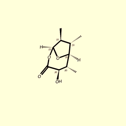 C[C@@H]1[C@@H]2OC(=O)[C@H](O)[C@@H](C)[C@@H](O2)[C@H]1C